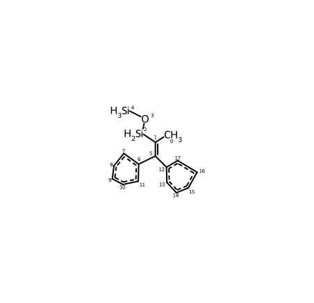 CC([SiH2]O[SiH3])=C(c1ccccc1)c1ccccc1